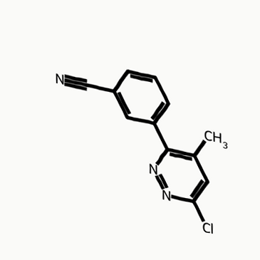 Cc1cc(Cl)nnc1-c1cccc(C#N)c1